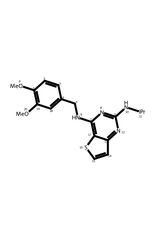 COc1ccc(CNc2nc(NC(C)C)nc3ccsc23)cc1OC